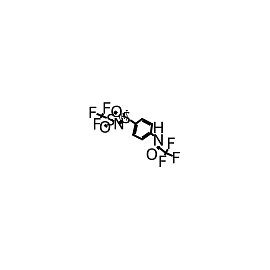 C[S@](=NS(=O)(=O)C(F)(F)F)c1ccc(NC(=O)C(F)(F)F)cc1